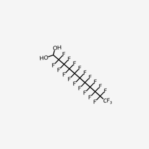 OC(O)C(F)(F)C(F)(F)C(F)(F)C(F)(F)C(F)(F)C(F)(F)C(F)(F)C(F)(F)C(F)(F)C(F)(F)F